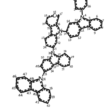 c1ccc(-n2c3ccccc3c3ccc(-n4c5ccccc5c5ccc(-n6c7ccccc7c7cc(-n8c9ccccc9c9ccccc98)ccc76)cc54)cc32)cc1